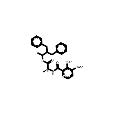 COc1ccnc(C(=O)N[C@@H](C)C(=O)OC(C)C(Cc2ccccc2)Cc2ccccc2)c1OC(C)=O